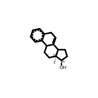 C[C@]12CCC3C(=CCc4ccccc43)C1CC[C@H]2O